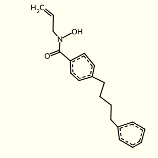 C=CCN(O)C(=O)c1ccc(CCCCc2ccccc2)cc1